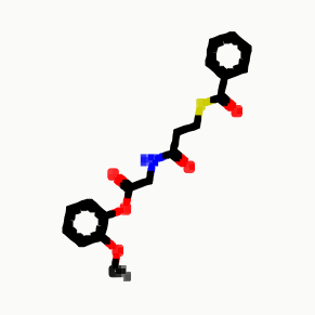 COc1ccccc1OC(=O)CNC(=O)CCSC(=O)c1ccccc1